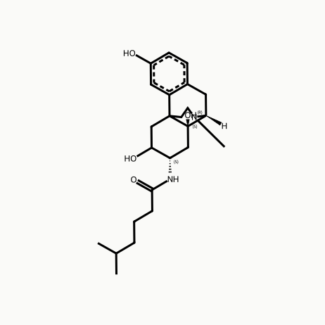 CC(C)CCCC(=O)N[C@H]1C[C@@]2(O)[C@H]3Cc4ccc(O)cc4C2(CCN3C)CC1O